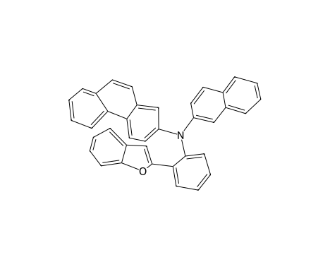 c1ccc(N(c2ccc3ccccc3c2)c2ccc3c(ccc4ccccc43)c2)c(-c2cc3ccccc3o2)c1